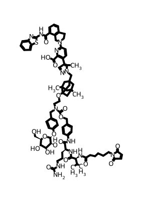 Cc1c(-c2ccc(N3CCc4cccc(C(=O)Nc5nc6ccccc6s5)c4C3)nc2C(=O)O)cnn1CC12CC3(C)CC(C)(C1)C(OCCN(Cc1ccc(O[C@H]4O[C@H](CO)[C@@H](O)[C@H](O)[C@H]4O)cc1)C(=O)OCc1ccc(NC(=O)[C@H](CCCNC(N)=O)NC(=O)[C@@H](NC(=O)CCCCCN4C(=O)C=CC4=O)C(C)C)cc1)(C3)C2